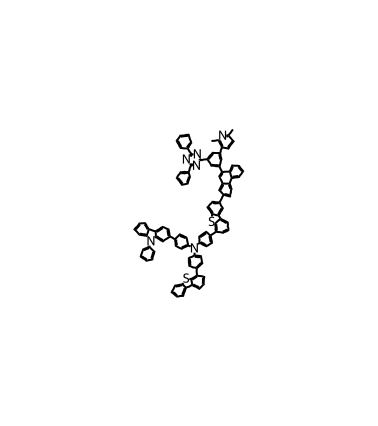 Cc1ccc(-c2cc(-c3nc(-c4ccccc4)nc(-c4ccccc4)n3)cc(-c3cc4cc(-c5ccc6sc7c(-c8ccc(N(c9ccc(-c%10ccc%11c%12ccccc%12n(-c%12ccccc%12)c%11c%10)cc9)c9ccc(-c%10cccc%11c%10sc%10ccccc%10%11)cc9)cc8)cccc7c6c5)ccc4c4ccccc34)c2)c(C)n1